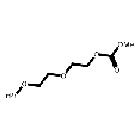 CCCOCCOCCOC(=O)OC